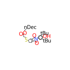 CCCCCCCCCCCCOC(=O)CCSC1CC2CC1C1C(=O)N(c3cc(C(C)(C)C)c(O)c(C(C)(C)C)c3)C(=O)C21